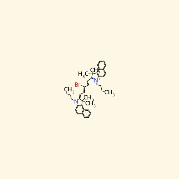 CCCCN1/C(=C/C=C(Br)/C=C/C2=[N+](CCCC)c3ccc4ccccc4c3C2(C)C)C(C)(C)c2c1ccc1ccccc21